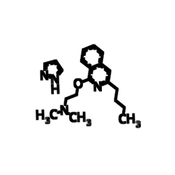 CCCCc1cc2ccccc2c(OCCN(C)C)n1.c1cn[nH]c1